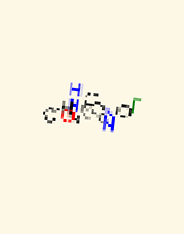 C[C@]12Cc3cnn(-c4ccc(F)cc4)c3C=C1CCC[C@@H]2CNC(=O)Cc1ccccc1